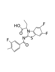 CCC(C(=O)O)n1c(=NC(=O)c2ccc(C)c(F)c2)sc2cc(F)c(F)cc21